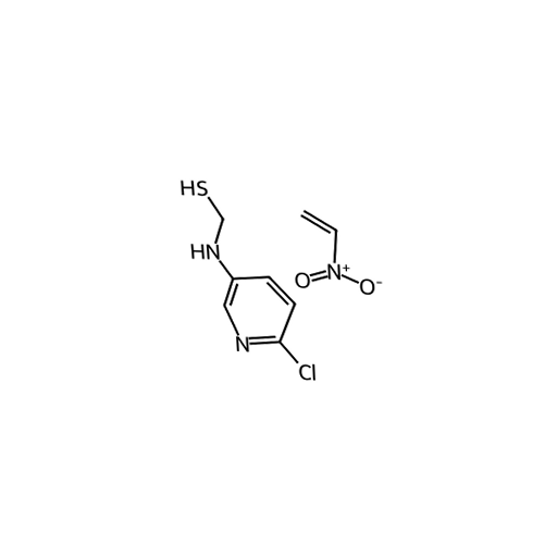 C=C[N+](=O)[O-].SCNc1ccc(Cl)nc1